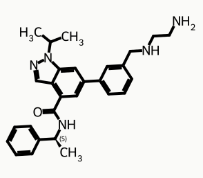 CC(C)n1ncc2c(C(=O)N[C@@H](C)c3ccccc3)cc(-c3cccc(CNCCN)c3)cc21